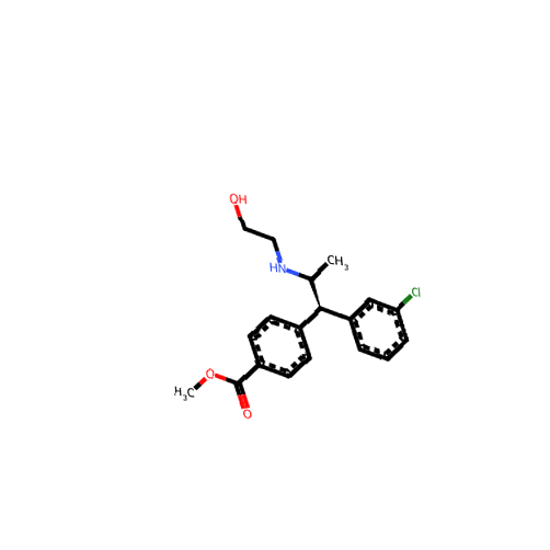 COC(=O)c1ccc([C@H](c2cccc(Cl)c2)C(C)NCCO)cc1